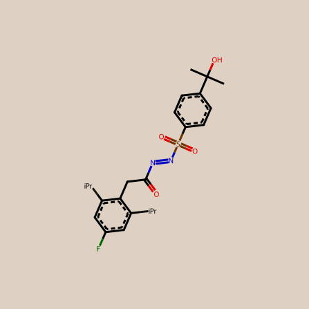 CC(C)c1cc(F)cc(C(C)C)c1CC(=O)N=NS(=O)(=O)c1ccc(C(C)(C)O)cc1